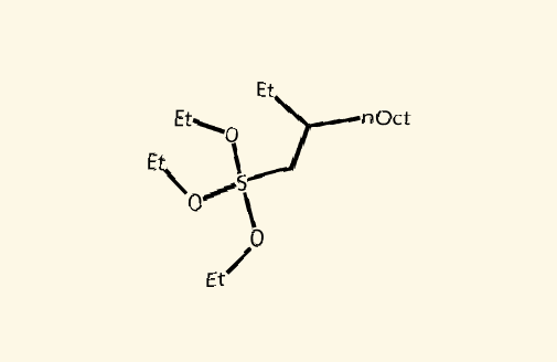 CCCCCCCCC(CC)CS(OCC)(OCC)OCC